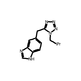 CC(C)Cn1nnnc1Cc1ccc2[nH][c]nc2c1